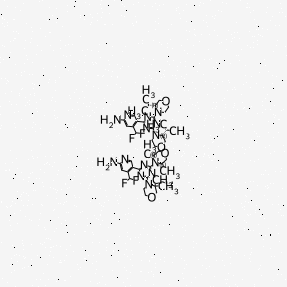 CC(C)[C@@H]1COCCN1c1nc(-c2cnc(N)cc2C(F)F)nc(N2CCOC[C@H]2C(C)C)n1.C[C@@H]1COC[C@H](C)N1c1nc(-c2cnc(N)cc2C(F)F)nc(N2CCOCC2(C)C)n1